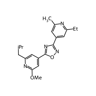 CCc1cc(-c2noc(-c3cc(CC(C)C)nc(OC)c3)n2)cc(C)n1